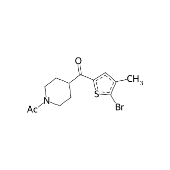 CC(=O)N1CCC(C(=O)c2cc(C)c(Br)s2)CC1